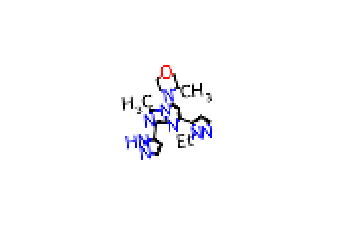 CCn1nccc1-c1cc(N2CCOCC2C)n2c(C)nc(-c3ccn[nH]3)c2n1